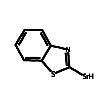 [SrH][c]1nc2ccccc2s1